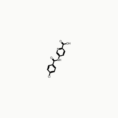 O=C(Nc1ccc(C(=O)O)nc1)c1ccc(Cl)cc1